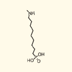 CNCCCCCCCCCP(=O)(O)O